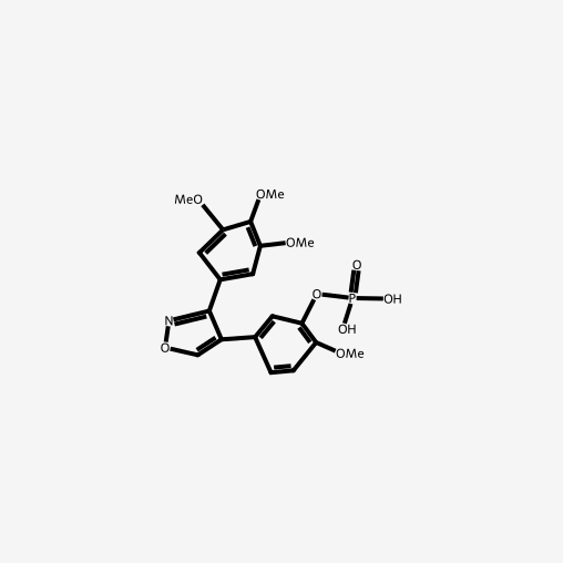 COc1ccc(-c2conc2-c2cc(OC)c(OC)c(OC)c2)cc1OP(=O)(O)O